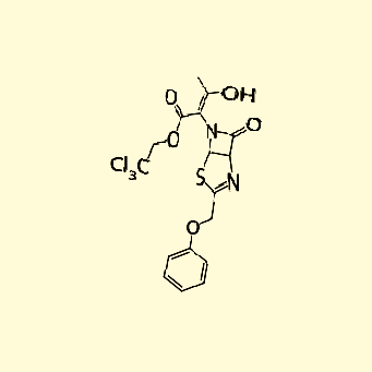 CC(O)=C(C(=O)OCC(Cl)(Cl)Cl)N1C(=O)C2N=C(COc3ccccc3)SC21